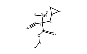 CCOC(=O)C(C#N)(CC1CC1)[SiH](C)C